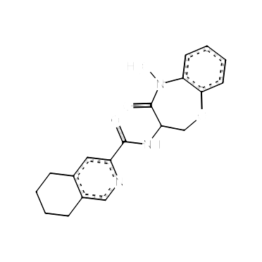 CN1C(=O)C(NC(=O)c2cc3c(cn2)CCCC3)COc2ccccc21